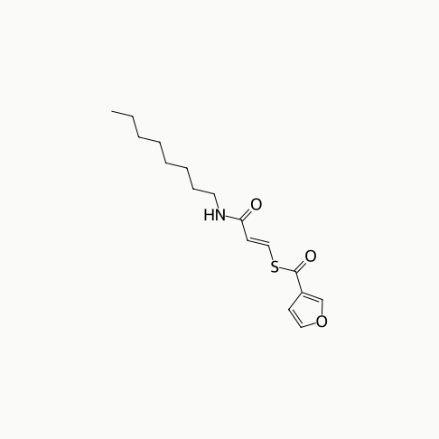 CCCCCCCCNC(=O)C=CSC(=O)c1ccoc1